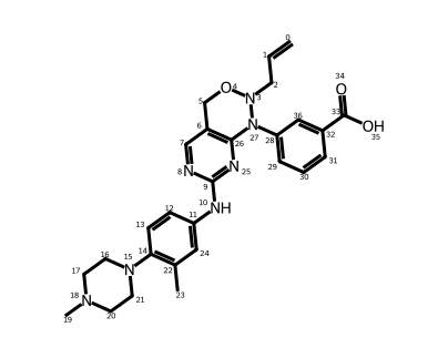 C=CCN1OCc2cnc(Nc3ccc(N4CCN(C)CC4)c(C)c3)nc2N1c1cccc(C(=O)O)c1